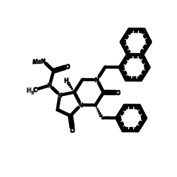 CNC(=O)N(C)N1CC(=O)N2[C@@H](Cc3ccccc3)C(=O)N(Cc3cccc4ccccc34)C[C@@H]21